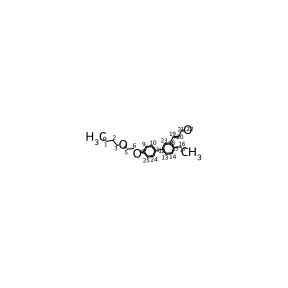 CCCCOCCOc1ccc(-c2ccc(CC)c(/C=C/C=O)c2)cc1